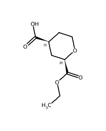 CCOC(=O)[C@H]1C[C@@H](C(=O)O)CCO1